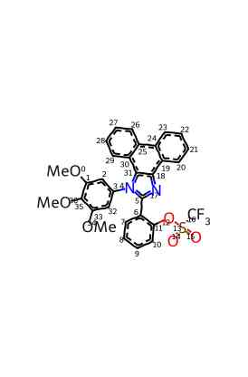 COc1cc(-n2c(-c3ccccc3OS(=O)(=O)C(F)(F)F)nc3c4ccccc4c4ccccc4c32)cc(OC)c1OC